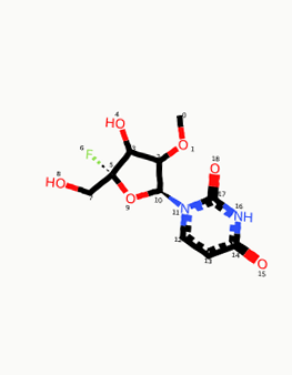 COC1C(O)[C@](F)(CO)O[C@@H]1n1ccc(=O)[nH]c1=O